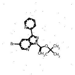 CC(C)(C)OC(=O)n1nc(-c2ccccn2)c2cc(Br)cnc21